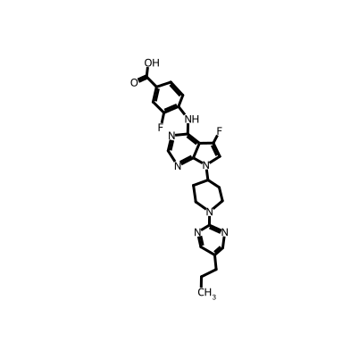 CCCc1cnc(N2CCC(n3cc(F)c4c(Nc5ccc(C(=O)O)cc5F)ncnc43)CC2)nc1